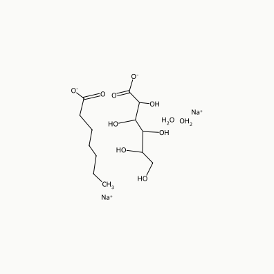 CCCCCCC(=O)[O-].O.O.O=C([O-])C(O)C(O)C(O)C(O)CO.[Na+].[Na+]